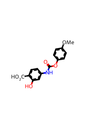 COc1ccc(OC(=O)Nc2ccc(C(=O)O)c(O)c2)cc1